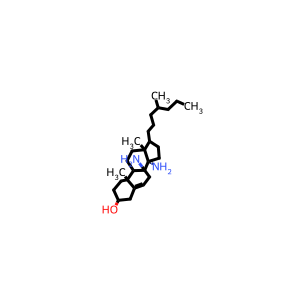 CCCC(C)CCCC1CC[C@]2(N)C1(C)CCC1C3(C)CCC(O)CC3=CCC12N